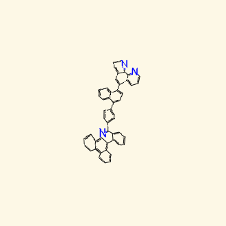 c1cnc2c(c1)cc(-c1ccc(-c3ccc(-c4nc5c6ccccc6c6ccccc6c5c5ccccc45)cc3)c3ccccc13)c1cccnc12